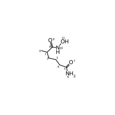 CC(CCCC(N)=O)C(=O)NO